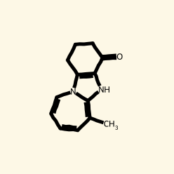 CC1=C2NC3=C(CCCC3=O)N2C=CC=C1